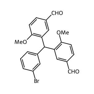 COc1ccc(C=O)cc1C(c1cccc(Br)c1)c1cc(C=O)ccc1OC